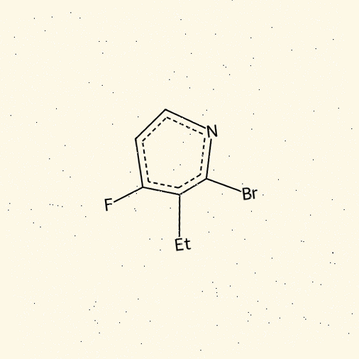 CCc1c(F)ccnc1Br